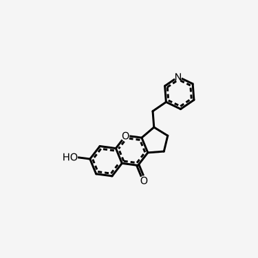 O=c1c2c(oc3cc(O)ccc13)C(Cc1cccnc1)CC2